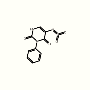 O=c1[nH]cc(N=S(=O)=O)c(=O)n1-c1ccccc1